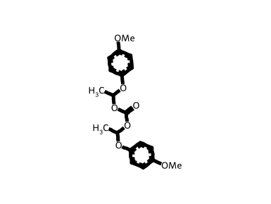 COc1ccc(OC(C)OC(=O)OC(C)Oc2ccc(OC)cc2)cc1